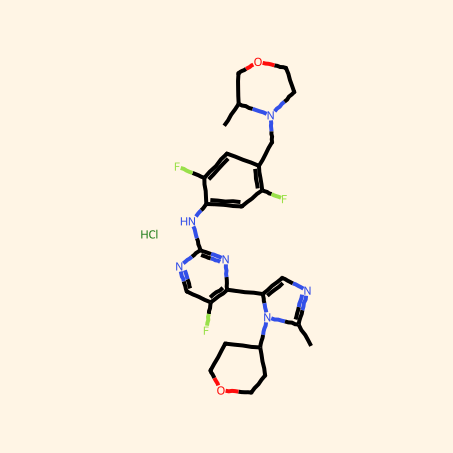 Cc1ncc(-c2nc(Nc3cc(F)c(CN4CCOCC4C)cc3F)ncc2F)n1C1CCOCC1.Cl